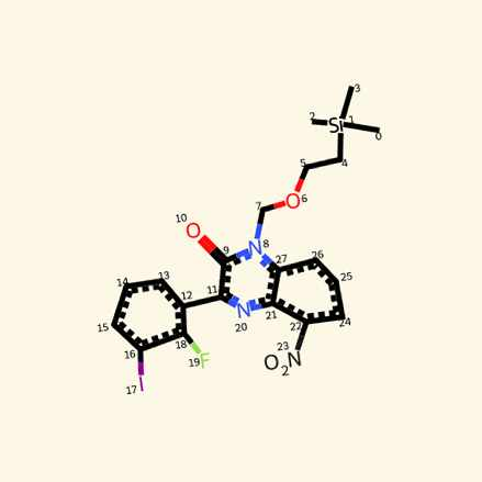 C[Si](C)(C)CCOCn1c(=O)c(-c2cccc(I)c2F)nc2c([N+](=O)[O-])cccc21